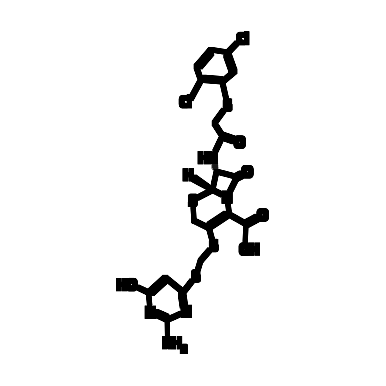 Nc1nc(O)cc(SCSC2=C(C(=O)O)N3C(=O)[C@@H](NC(=O)CSc4cc(Cl)ccc4Cl)[C@H]3SC2)n1